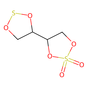 O=S1(=O)OCC(C2COSO2)O1